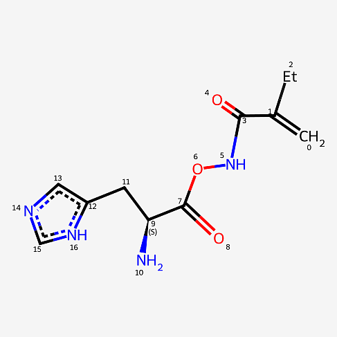 C=C(CC)C(=O)NOC(=O)[C@@H](N)Cc1cnc[nH]1